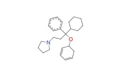 C1=CCC(OC(CCN2CCCC2)(c2ccccc2)C2CCCCC2)C=C1